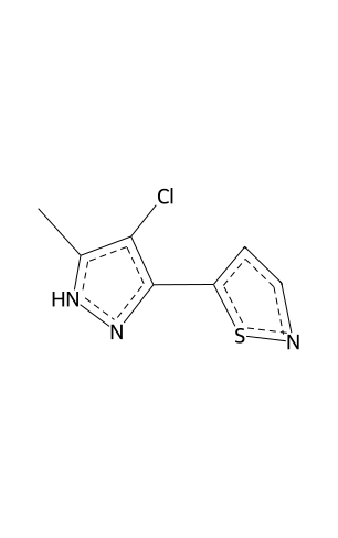 Cc1[nH]nc(-c2ccns2)c1Cl